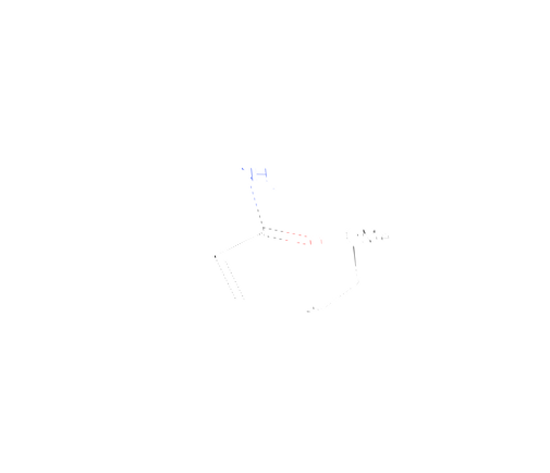 C=CC(N)=O.COCC(C)C